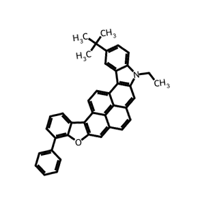 CCn1c2ccc(C(C)(C)C)cc2c2c3ccc4c5c(cc6ccc(cc21)c3c64)oc1c(-c2ccccc2)cccc15